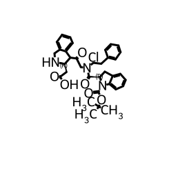 CC(C)(C)OC(=O)N1c2ccccc2C[C@@H]1C(=O)N(CC(=O)C1c2ccccc2CN[C@@H]1CC(=O)O)C(Cl)Cc1ccccc1